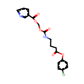 O=C(CCCNC(=O)OCOC(=O)c1cccnc1)Oc1ccc(Cl)cc1